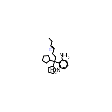 CC/C=C/CCC(c1c(N)cccc1N)(C1CCCC1)C1CCCC1